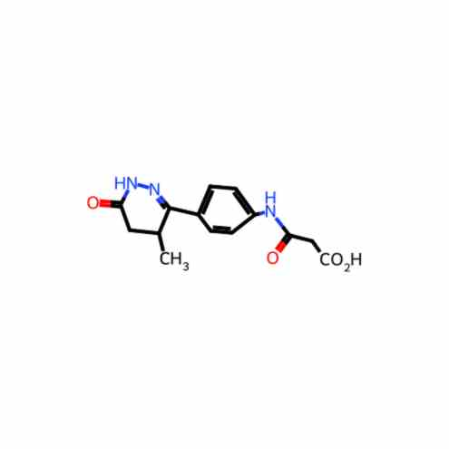 CC1CC(=O)NN=C1c1ccc(NC(=O)CC(=O)O)cc1